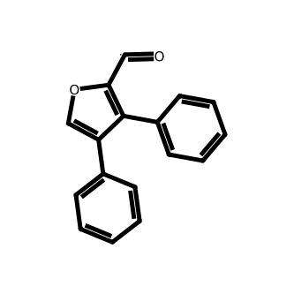 O=[C]c1occ(-c2ccccc2)c1-c1ccccc1